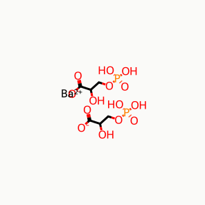 O=C([O-])C(O)COP(=O)(O)O.O=C([O-])C(O)COP(=O)(O)O.[Ba+2]